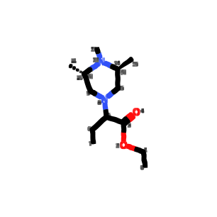 CCOC(=O)C(CC)N1C[C@H](C)N(C)[C@@H](C)C1